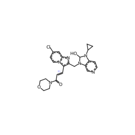 O=C(/C=C/c1c(CN2c3cnccc3N(C3CC3)C2O)nc2cc(Cl)ccn12)N1CCOCC1